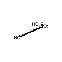 CCC(CCCCCCCCCCCCCCCCO)C(=O)O